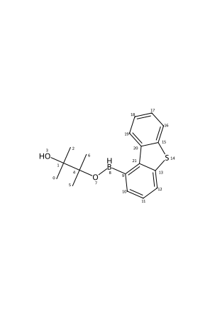 CC(C)(O)C(C)(C)OBc1cccc2sc3ccccc3c12